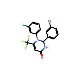 O=C1C=C(C(F)(F)F)N(c2cccc(Cl)c2)C(c2cccc(Cl)c2)N1